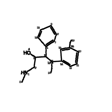 CNCC(O)C(c1ccccc1)N(C)c1cccc(C)c1